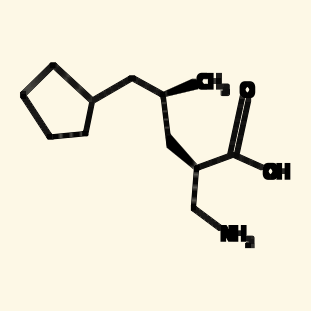 C[C@H](CC1CCCC1)C[C@H](CN)C(=O)O